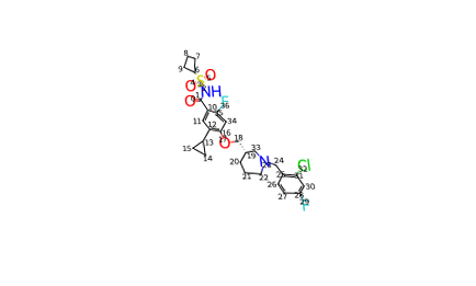 O=C(NS(=O)(=O)C1CCC1)c1cc(C2CC2)c(OC[C@H]2CCCN(Cc3ccc(F)cc3Cl)C2)cc1F